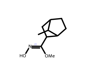 CO/C(=N\O)C1CC2CCC1C2C